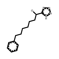 [O]C(CCCCCCc1ccccc1)c1nnn[nH]1